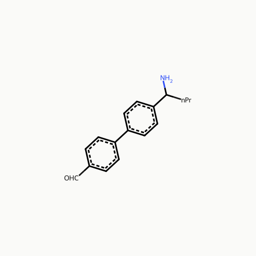 CCCC(N)c1ccc(-c2ccc(C=O)cc2)cc1